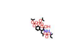 CCC(C)OC(=O)OC(C)CC(c1ccc(OC(=O)OC(C)C)c(OC(=O)OC(C)C)c1)[C@H](N)C(=O)O